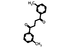 Cc1cccc(C(=O)CCC(=O)c2cccc(C)c2)c1